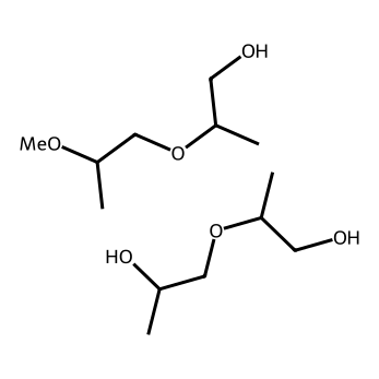 CC(O)COC(C)CO.COC(C)COC(C)CO